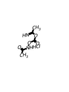 CC(=N)OC(=O)ONC(C)=O.Cl